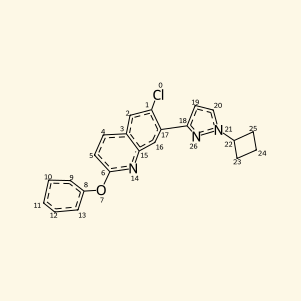 Clc1cc2ccc(Oc3ccccc3)nc2cc1-c1ccn(C2CCC2)n1